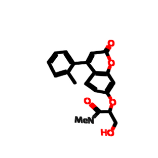 CNC(=O)C(CO)Oc1ccc2c(-c3ccccc3C)cc(=O)oc2c1